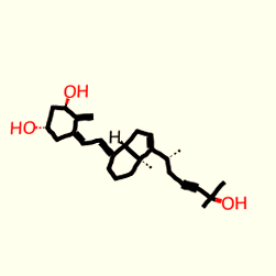 C=C1/C(=C\C=C2/CCC[C@]3(C)C([C@H](C)CC#CC(C)(C)O)=CC[C@@H]23)C[C@H](O)C[C@H]1O